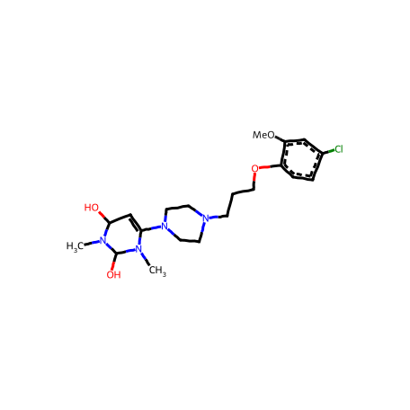 COc1cc(Cl)ccc1OCCCN1CCN(C2=CC(O)N(C)C(O)N2C)CC1